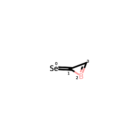 [Se]=c1bc1